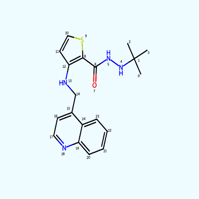 CC(C)(C)NNC(=O)c1sccc1NCc1ccnc2ccccc12